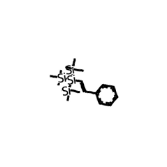 C[Si](C)(C)[Si](C=Cc1ccccc1)([Si](C)(C)C)[Si](C)(C)C